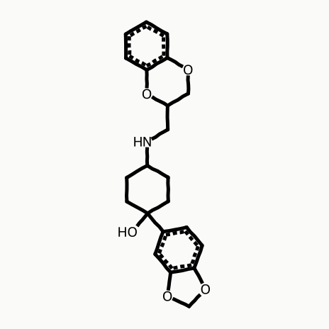 OC1(c2ccc3c(c2)OCO3)CCC(NCC2COc3ccccc3O2)CC1